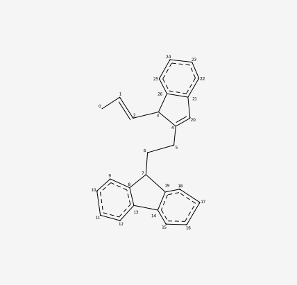 CC=CC1C(CCC2c3ccccc3-c3ccccc32)=Cc2ccccc21